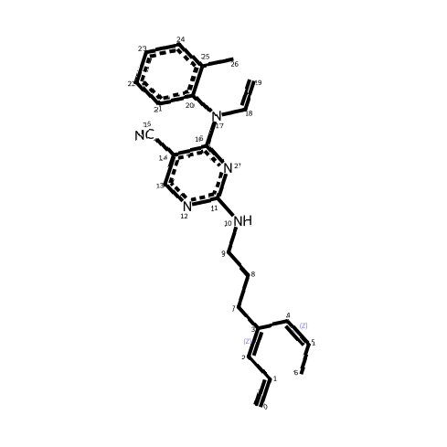 C=C/C=C(\C=C/C)CCCNc1ncc(C#N)c(N(C=C)c2ccccc2C)n1